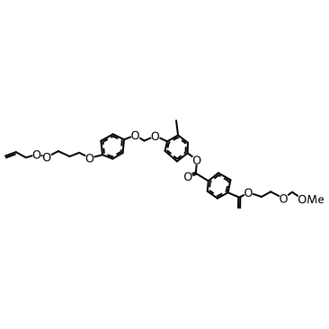 C=CCOOCCCOc1ccc(OCOc2ccc(OC(=O)c3ccc(C(=C)OCCOCOC)cc3)cc2C)cc1